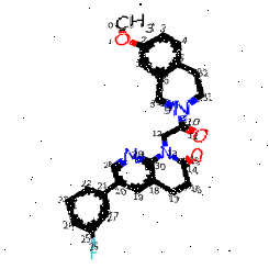 COc1ccc2c(c1)CN(C(=O)CN1C(=O)CCc3cc(-c4cccc(F)c4)cnc31)CC2